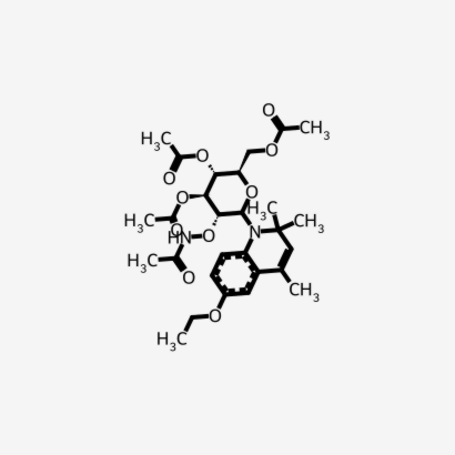 CCOc1ccc2c(c1)C(C)=CC(C)(C)N2C1O[C@H](COC(C)=O)[C@@H](OC(C)=O)[C@H](OC(C)=O)[C@H]1ONC(C)=O